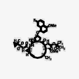 COC[C@@H]1C[C@H](C)CCC=C[C@@H]2C[C@@]2(C(=O)NS(=O)(=O)C2(C)CC2)NC(=O)[C@@H]2C[C@@H](Oc3ccc(OC)c4ccc(F)cc34)CN2C(=O)[C@H]1NC(=O)OC(C)(C)C(F)(F)F